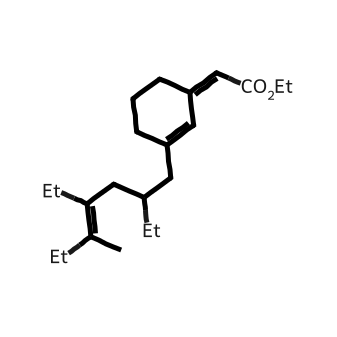 CCOC(=O)C=C1C=C(CC(CC)CC(CC)=C(C)CC)CCC1